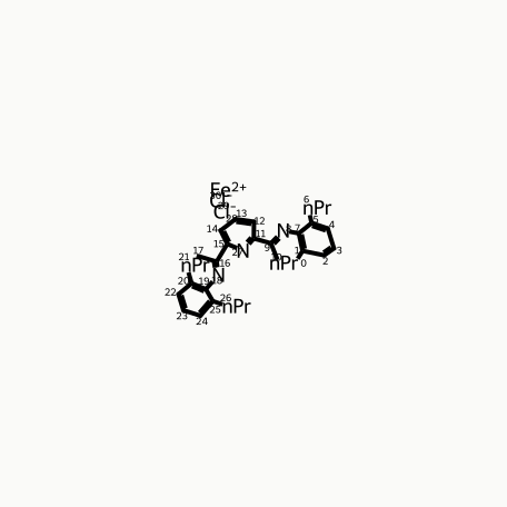 CCCc1cccc(CCC)c1N=C(C)c1cccc(C(C)=Nc2c(CCC)cccc2CCC)n1.[Cl-].[Cl-].[Fe+2]